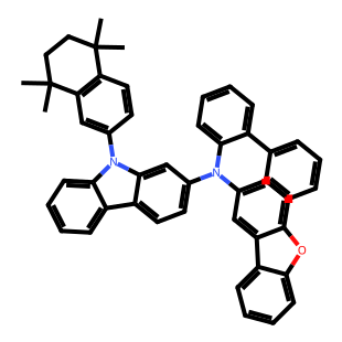 CC1(C)CCC(C)(C)c2cc(-n3c4ccccc4c4ccc(N(c5ccc6oc7ccccc7c6c5)c5ccccc5-c5ccccc5)cc43)ccc21